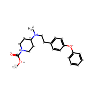 CN(CCc1ccc(Oc2ccccc2)cc1)C1CCN(C(=O)OC(C)(C)C)CC1